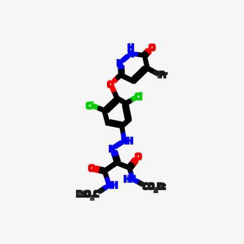 CCOC(=O)NC(=O)C(=NNc1cc(Cl)c(Oc2cc(C(C)C)c(=O)[nH]n2)c(Cl)c1)C(=O)NC(=O)OCC